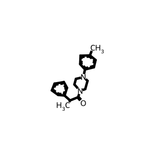 Cc1ccc(N2CCN(C(=O)C(C)c3ccccc3)CC2)cc1